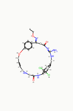 CCO/N=C1/CC(=O)/N=C(/N)NCc2cc(Cl)c(c(Cl)c2)NC(=O)CNC/C=C\COc2ccc1cc2